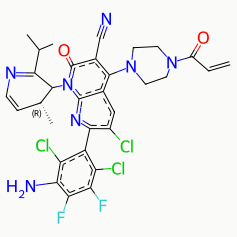 C=CC(=O)N1CCN(c2c(C#N)c(=O)n(C3C(C(C)C)=NC=C[C@H]3C)c3nc(-c4c(Cl)c(N)c(F)c(F)c4Cl)c(Cl)cc23)CC1